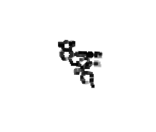 CCOC(CN(Cc1ccc2c(c1OC)OCO2)S(=O)(=O)c1ccc(C)cc1)OCC